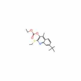 CCOC(=O)Oc1c(SCC)nc2cc(C(C)(C)C)ccc2c1C